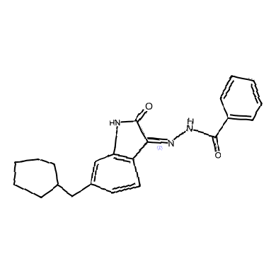 O=C1Nc2cc(CC3CCCCC3)ccc2/C1=N/NC(=O)c1ccccc1